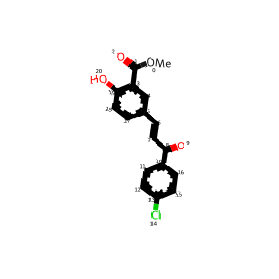 COC(=O)c1cc(C=CC(=O)c2ccc(Cl)cc2)ccc1O